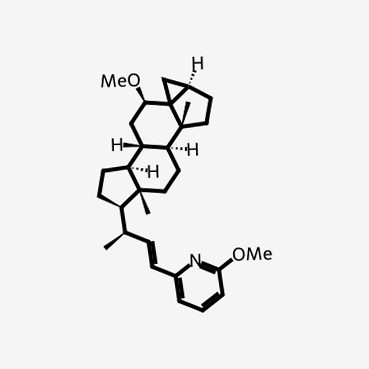 COc1cccc(/C=C/[C@@H](C)[C@H]2CC[C@H]3[C@@H]4C[C@@H](OC)C56C[C@H]5CC[C@]6(C)[C@H]4CC[C@]23C)n1